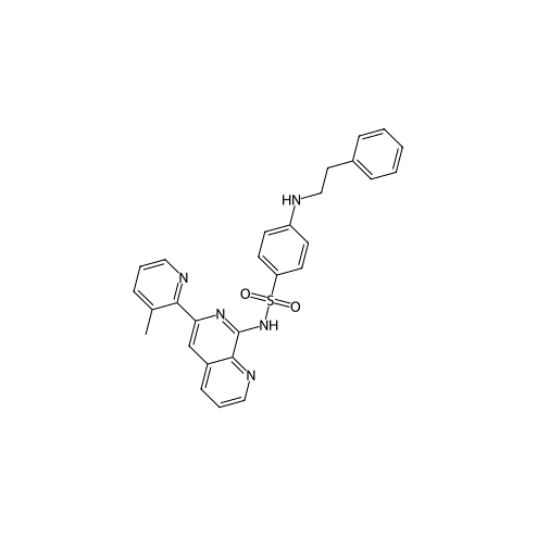 Cc1cccnc1-c1cc2cccnc2c(NS(=O)(=O)c2ccc(NCCc3ccccc3)cc2)n1